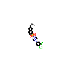 CC(=O)CC1Cc2ccc(S(=O)(=O)N3CCN(c4ccc(Cl)c(Cl)c4)CC3)cc2C1